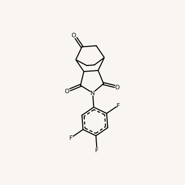 O=C1CC2CCC1C1C(=O)N(c3cc(F)c(F)cc3F)C(=O)C21